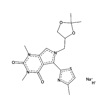 Cc1csc(-c2c3c(=O)n(C)c(=O)n(C)c3cn2CC2COC(C)(C)O2)n1.[H-].[Na+]